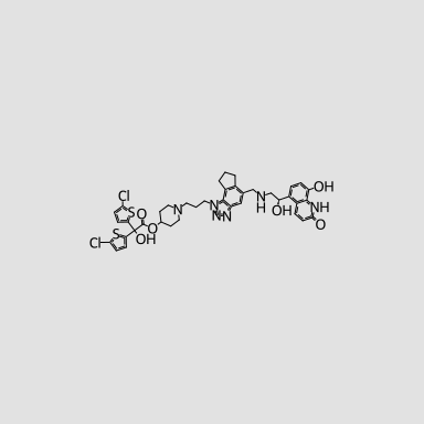 O=C(OC1CCN(CCCn2nnc3cc(CNC[C@H](O)c4ccc(O)c5[nH]c(=O)ccc45)c4c(c32)CCC4)CC1)C(O)(c1ccc(Cl)s1)c1ccc(Cl)s1